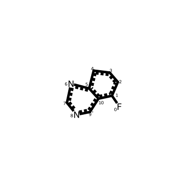 Fc1cccc2ncn[c]c12